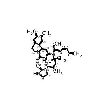 C=C/C=C\C=C(/C=C)N(c1cc2n(c(=O)n1)CCC(=C/C=C)/C2=C\C=C)C(C)(C)CC(C)CN1CCNC1=O